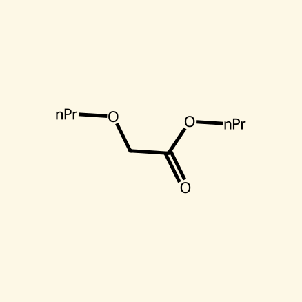 CCCOCC(=O)OCCC